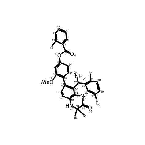 COc1cc(OC(=O)c2ccccc2C)ccc1-c1ccc2c(c1C(N)c1cc(F)ccc1C)N(C)C(=O)C(C)(C)N2